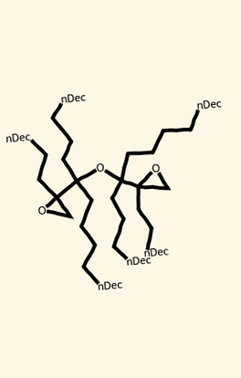 CCCCCCCCCCCCCCC(CCCCCCCCCCCCC)(OC(CCCCCCCCCCCCC)(CCCCCCCCCCCCCC)C1(CCCCCCCCCCCC)CO1)C1(CCCCCCCCCCCC)CO1